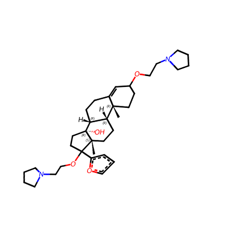 C[C@]12CCC(OCCN3CCCC3)C=C1CC[C@@H]1[C@H]2CC[C@]2(C)C(OCCN3CCCC3)(c3ccco3)CC[C@@]12O